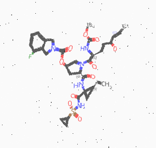 C=C[C@@H]1C[C@]1(NC(=O)[C@@H]1CC(OC(=O)N2Cc3cccc(F)c3C2)CN1C(=O)[C@H](CCC(=O)/C=C/CC)NC(=O)OC(C)(C)C)C(=O)NS(=O)(=O)C1CC1